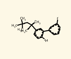 [2H]c1ccc(C(C)(C)CC(C)(C)C)cc1-c1cccc(F)c1